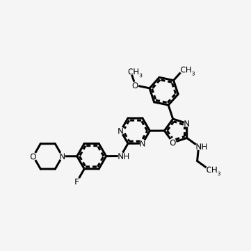 CCNc1nc(-c2cc(C)cc(OC)c2)c(-c2ccnc(Nc3ccc(N4CCOCC4)c(F)c3)n2)o1